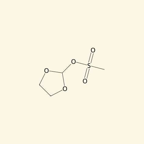 CS(=O)(=O)OC1OCCO1